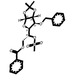 CC1(C)O[C@H]2O[C@H]([C@@H](COC(=O)c3ccccc3)OS(C)(=O)=O)[C@H](OCc3ccccc3)[C@H]2O1